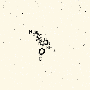 BN(C)CC(C)(C)n1nc(-c2ccc(Cl)cc2)c2c(N)ncnc21